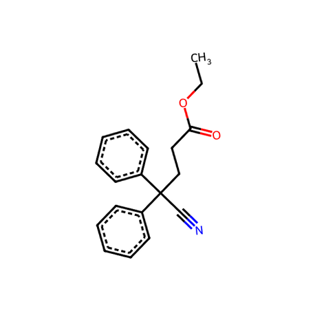 CCOC(=O)CCC(C#N)(c1ccccc1)c1ccccc1